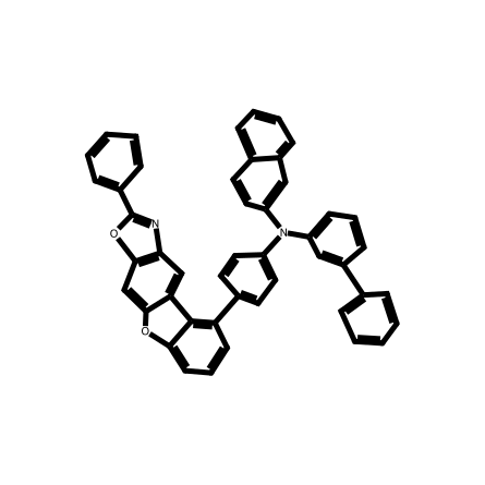 c1ccc(-c2cccc(N(c3ccc(-c4cccc5oc6cc7oc(-c8ccccc8)nc7cc6c45)cc3)c3ccc4ccccc4c3)c2)cc1